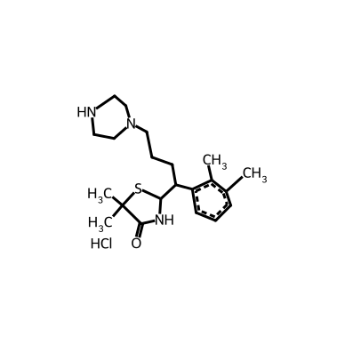 Cc1cccc(C(CCCN2CCNCC2)C2NC(=O)C(C)(C)S2)c1C.Cl